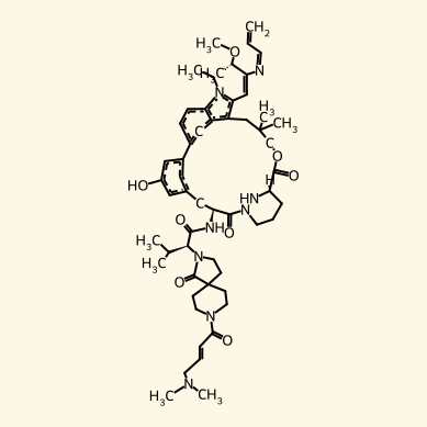 C=C/C=N\C(=C\c1c2c3cc(ccc3n1CC)-c1cc(O)cc(c1)C[C@H](NC(=O)[C@H](C(C)C)N1CCC3(CCN(C(=O)/C=C/CN(C)C)CC3)C1=O)C(=O)N1CCC[C@H](N1)C(=O)OCC(C)(C)C2)[C@H](C)OC